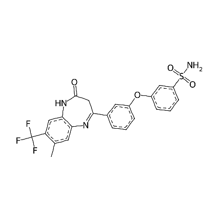 Cc1cc2c(cc1C(F)(F)F)NC(=O)CC(c1cccc(Oc3cccc(S(N)(=O)=O)c3)c1)=N2